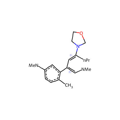 CCC/C(=C\C(=C/NC)c1cc(NC)ccc1C)N1CCOC1